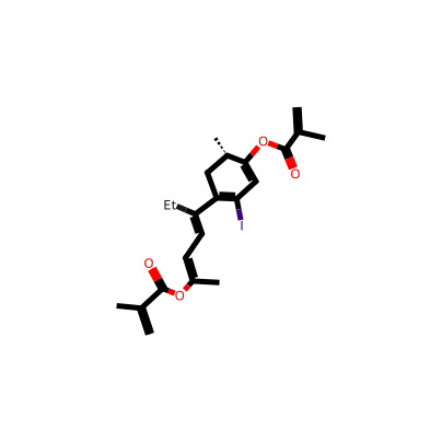 C=C(C)C(=O)OC1=CC(I)=C(/C(=C/C=C(\C)OC(=O)C(=C)C)CC)C[C@@H]1C